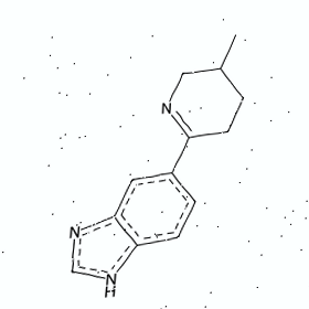 CC1CCC(c2ccc3[nH]cnc3c2)=NC1